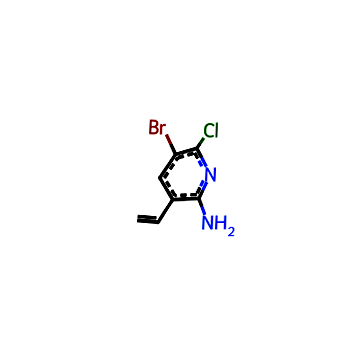 C=Cc1cc(Br)c(Cl)nc1N